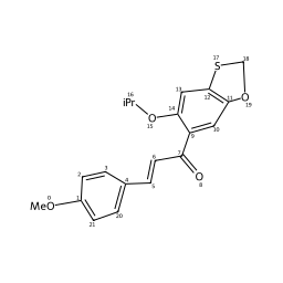 COc1ccc(C=CC(=O)c2cc3c(cc2OC(C)C)SCO3)cc1